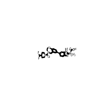 CN(C(=O)O)c1nc2ccc(-c3ccc4c(c3)CN(C(=O)N3CCC(C(F)F)CC3)CCO4)cc2[nH]1